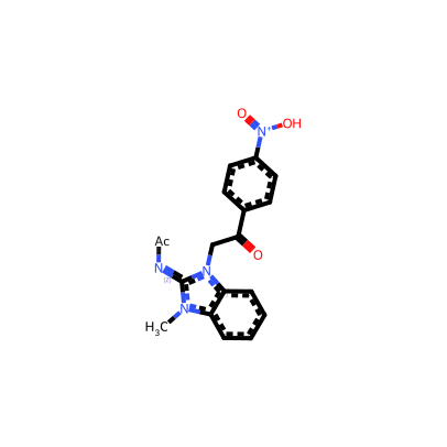 CC(=O)/N=c1/n(C)c2ccccc2n1CC(=O)c1ccc([N+](=O)O)cc1